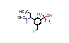 CC(C)(O)c1cc(CF)cc(C(CC(=O)O)NC=O)c1